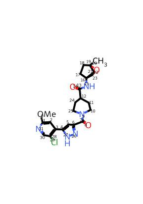 COc1cc(-c2cc(C(=O)N3CCC(C(=O)NC45CCC(C)(C4)OC5)CC3)n[nH]2)c(Cl)cn1